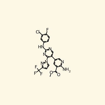 COC(=O)c1cc(-c2cnc(Nc3ccc(F)c(Cl)c3)nc2-n2ccc(C(F)(F)F)n2)cnc1N